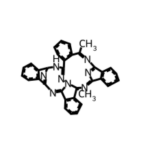 C/C1=N\C2=NC(=N\C3(C)c4ccccc4/C4=N/C5=NC(N/C(=N\N43)c3ccccc31)c1ccccc15)/c1ccccc12